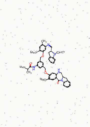 CNC(C)C(=O)Nc1cc(COc2cc(/N=C\[C@@H]3Cc4ccccc4N3C=O)c(C)cc2OC)cc(COc2cc3c(cc2OC)C(=O)N2c4ccccc4CC2CN3)c1